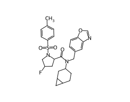 Cc1ccc(S(=O)(=O)N2CC(F)CC2C(=O)N(Cc2ccc3ocnc3c2)C2CCC3CC3C2)cc1